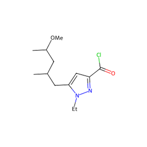 CCn1nc(C(=O)Cl)cc1CC(C)CC(C)OC